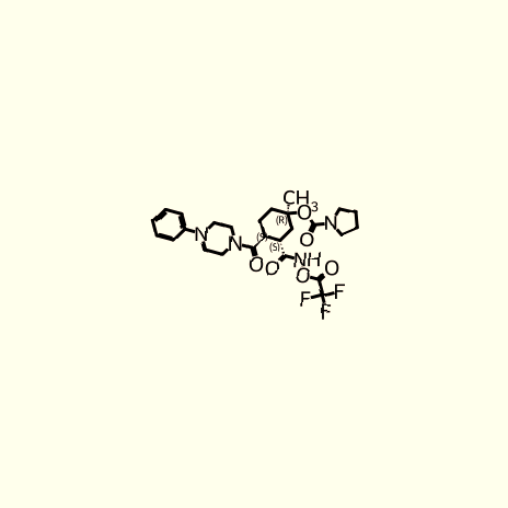 C[C@@]1(OC(=O)N2CCCC2)CC[C@H](C(=O)N2CCN(c3ccccc3)CC2)[C@@H](C(=O)NOC(=O)C(F)(F)F)C1